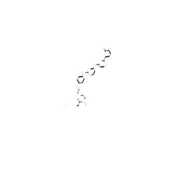 COC(=O)C1CN(CCNc2ccc(Nc3nccc(Nc4ccnc(-c5cccc(C)n5)n4)n3)cc2)CCN1C(C)C